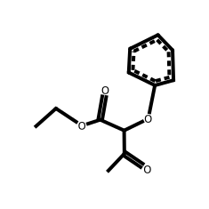 CCOC(=O)C(Oc1ccccc1)C(C)=O